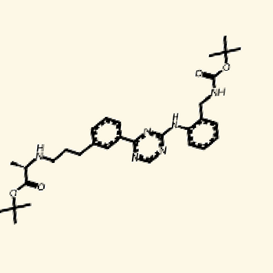 C[C@@H](NCCCc1cccc(-c2ncnc(Nc3ccccc3CNC(=O)OC(C)(C)C)n2)c1)C(=O)OC(C)(C)C